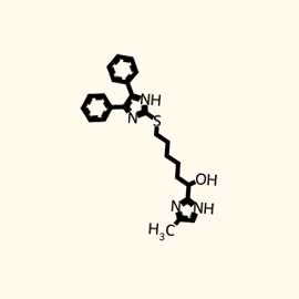 Cc1c[nH]c(C(O)CCCCCSc2nc(-c3ccccc3)c(-c3ccccc3)[nH]2)n1